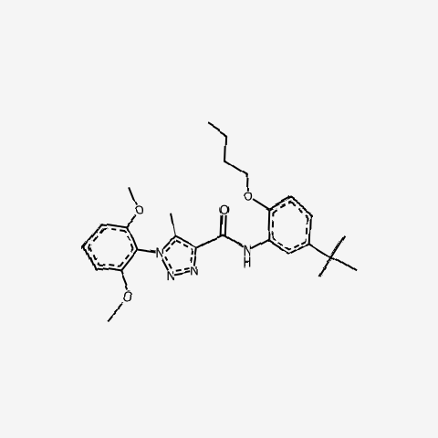 CCCCOc1ccc(C(C)(C)C)cc1NC(=O)c1nnn(-c2c(OC)cccc2OC)c1C